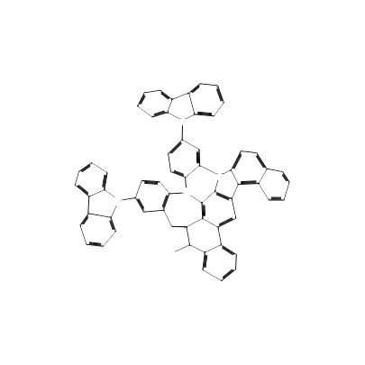 CC1c2ccccc2-c2cc3c4c5ccccc5ccc4n4c3c3c2[C@H]1Cc1cc(-n2c5ccccc5c5ccccc52)ccc1N3c1ccc(-n2c3ccccc3c3ccccc32)cc1-4